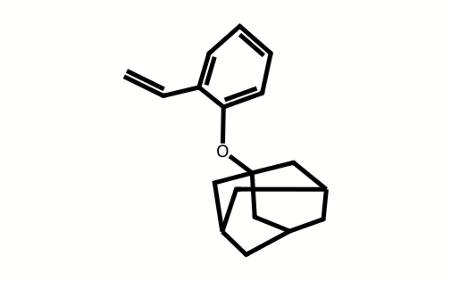 C=Cc1ccccc1OC12CC3CC(CC(C3)C1)C2